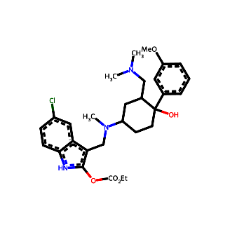 CCOC(=O)Oc1[nH]c2ccc(Cl)cc2c1CN(C)C1CCC(O)(c2cccc(OC)c2)C(CN(C)C)C1